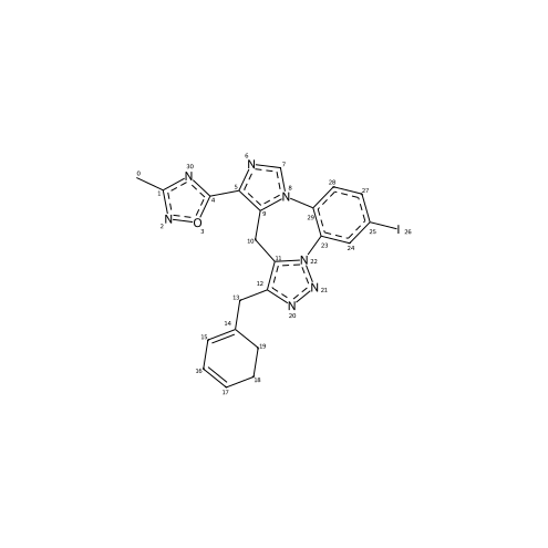 Cc1noc(-c2ncn3c2Cc2c(CC4=CC=CCC4)nnn2-c2cc(I)ccc2-3)n1